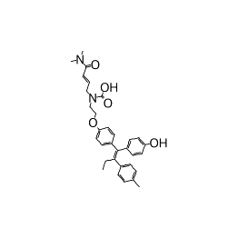 CCC(=C(c1ccc(O)cc1)c1ccc(OCCN(CC=CC(=O)N(C)C)C(=O)O)cc1)c1ccc(C)cc1